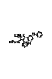 CCCCCC(=O)C(C1NCCS1)C(C(=O)OCC)c1cccc(Oc2ccccc2)c1